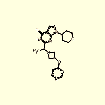 CC(c1nc2c(cnn2C2CCOCC2)c(=O)[nH]1)N1CC(Oc2ccncn2)C1